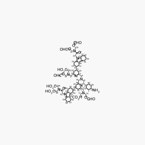 Nc1ccc(CCN(Cc2cc(-c3ccc4c(c3)c3ccccc3n4CC(=O)N(COC=O)COC=O)cc(CN(COC=O)CC(=O)O)n2)Cc2cc(-c3ccc4c(c3)c3ccccc3n4CC(=O)N(CC(=O)O)CC(=O)O)cc(CN(COC=O)CC(=O)O)n2)cc1